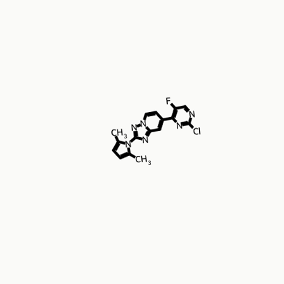 Cc1ccc(C)n1-c1nc2cc(-c3nc(Cl)ncc3F)ccn2n1